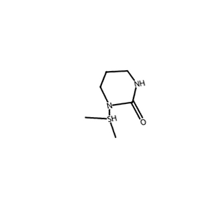 C[SH](C)N1CCCNC1=O